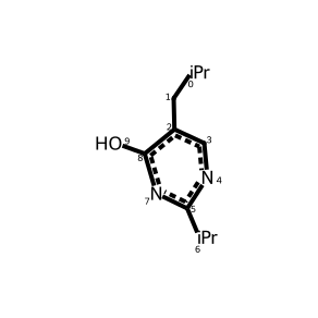 CC(C)Cc1cnc(C(C)C)nc1O